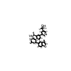 Cc1nc(N[C@@H](C)c2cccc(-c3cncc(C(C)(C)O)c3)c2)cc(-c2ccc3occ(C)c3c2)n1